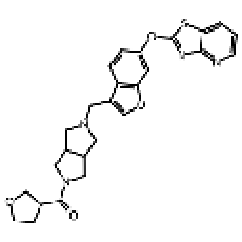 O=C(C1CCOC1)N1CC2CN(Cc3coc4cc(Oc5nc6ncccc6s5)ccc34)CC2C1